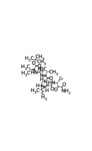 CC(C)[C@H](NC(=O)N[C@H](C(=O)N1C[C@H]2[C@@H]([C@H]1C(=O)NC(C(=O)C(N)=O)C1CC1)C2(C)C)C(C)C)C(=O)OC(C)(C)C